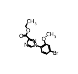 CCOC(=O)c1ncn(-c2ccc(Br)cc2OC)n1